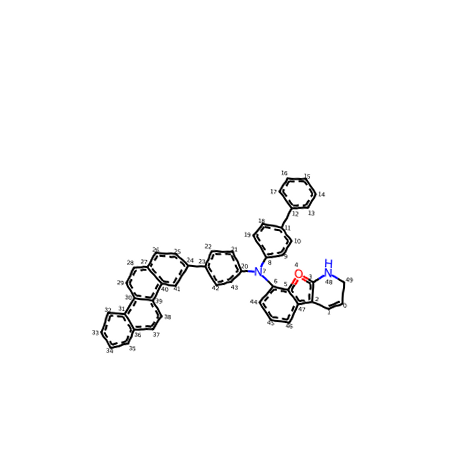 C1=Cc2c(oc3c(N(c4ccc(-c5ccccc5)cc4)c4ccc(-c5ccc6ccc7c8ccccc8ccc7c6c5)cc4)cccc23)NC1